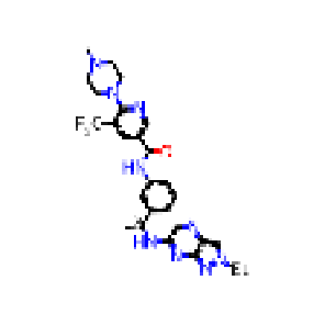 CCn1cc2ncc(N[C@@H](C)c3cccc(NC(=O)c4cnc(N5CCN(C)CC5)c(C(F)(F)F)c4)c3)nc2n1